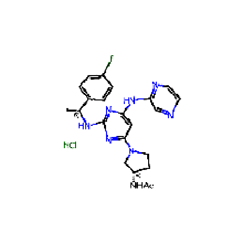 CC(=O)N[C@H]1CCN(c2cc(Nc3cnccn3)nc(N[C@@H](C)c3ccc(F)cc3)n2)C1.Cl